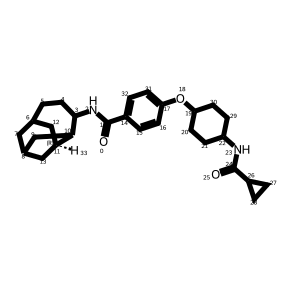 O=C(NC1CCC2CC3CC1[C@H](C2)C3)c1ccc(OC2CCC(NC(=O)C3CC3)CC2)cc1